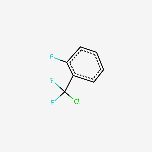 Fc1ccccc1C(F)(F)Cl